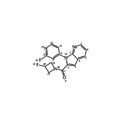 O=C(c1cc2cccnc2n1-c1ccnc(F)c1)N1CC(F)C1